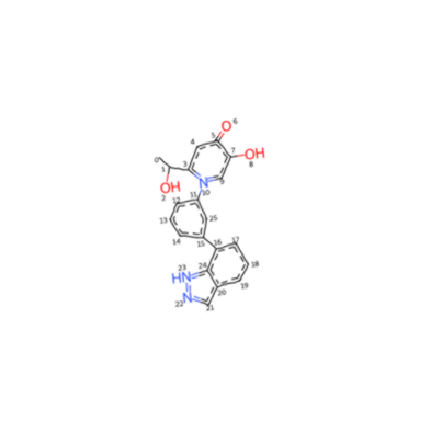 CC(O)c1cc(=O)c(O)cn1-c1cccc(-c2cccc3cn[nH]c23)c1